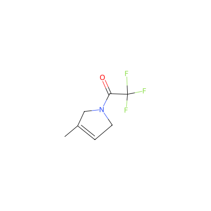 CC1=CCN(C(=O)C(F)(F)F)C1